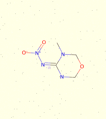 CN1COC[N]/C1=N/[N+](=O)[O-]